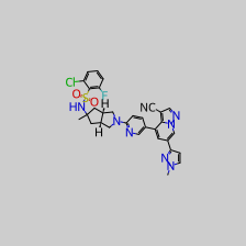 Cn1ccc(-c2cc(-c3ccc(N4C[C@@H]5CC(C)(NS(=O)(=O)c6c(F)cccc6Cl)C[C@@H]5C4)nc3)c3c(C#N)cnn3c2)n1